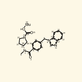 CN(C(=O)c1ccc(Cn2cnc3ccccc32)cc1)[C@@H]1CCN(C(=O)OC(C)(C)C)C1